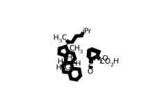 CC(C)CCCC(C)[C@H]1CC[C@H]2[C@@H]3CCC4CCCC[C@]4(C)[C@H]3CC[C@]12C.O.O=C=C1C=CC=CC1C(=O)O